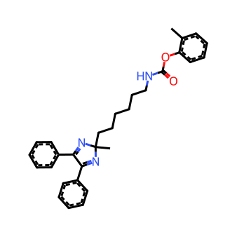 Cc1ccccc1OC(=O)NCCCCCCC1(C)N=C(c2ccccc2)C(c2ccccc2)=N1